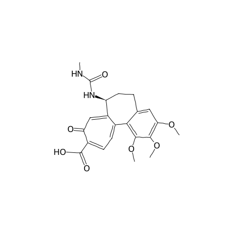 CNC(=O)N[C@H]1CCc2cc(OC)c(OC)c(OC)c2-c2ccc(C(=O)O)c(=O)cc21